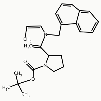 C=C(C1CCCN1C(=O)OC(C)(C)C)N(/C=C\C)Cc1cccc2ccccc12